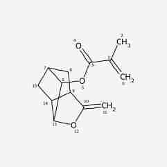 C=C(C)C(=O)OC1C2CC3C(=C)OC1C3C2